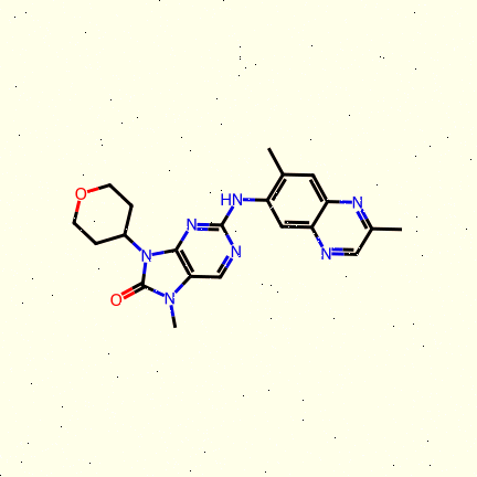 Cc1cnc2cc(Nc3ncc4c(n3)n(C3CCOCC3)c(=O)n4C)c(C)cc2n1